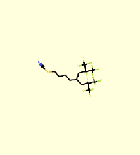 N#CSCCCCC(CC(F)(C(F)(F)F)C(F)(F)F)CC(F)(C(F)(F)F)C(F)(F)F